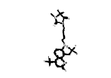 CN1C(=O)N(CCCCOc2ccc3c(C(F)(F)F)cc(=O)oc3c2CC(F)(F)F)C(=O)C1(C)C